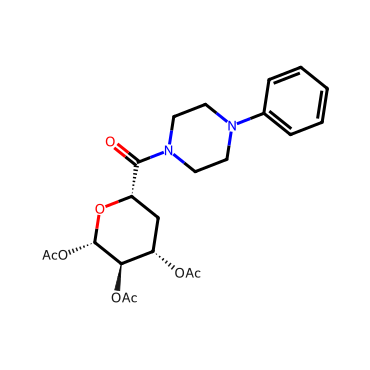 CC(=O)O[C@@H]1O[C@H](C(=O)N2CCN(c3ccccc3)CC2)C[C@H](OC(C)=O)[C@H]1OC(C)=O